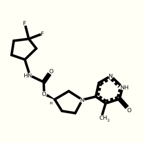 Cc1c(N2CC[C@@H](OC(=O)NC3CCC(F)(F)C3)C2)cn[nH]c1=O